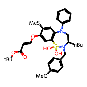 CCCCC1CN(c2ccccc2)c2cc(SC)c(O/C=C/C(=O)OC(C)(C)C)cc2S(O)(O)N1Cc1ccc(OC)cc1